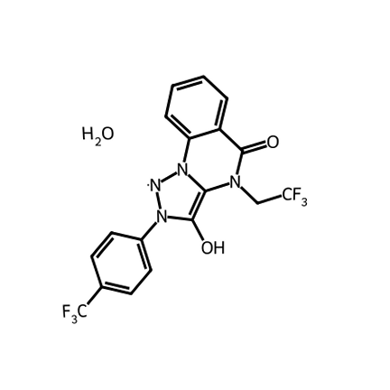 O.O=C1c2ccccc2N2[N]N(c3ccc(C(F)(F)F)cc3)C(O)=C2N1CC(F)(F)F